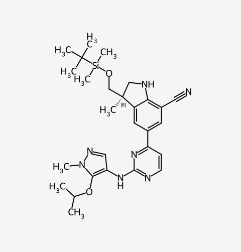 CC(C)Oc1c(Nc2nccc(-c3cc(C#N)c4c(c3)[C@@](C)(CO[Si](C)(C)C(C)(C)C)CN4)n2)cnn1C